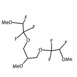 COC(COC(F)(F)C(F)OC)COC(F)(F)C(F)OC